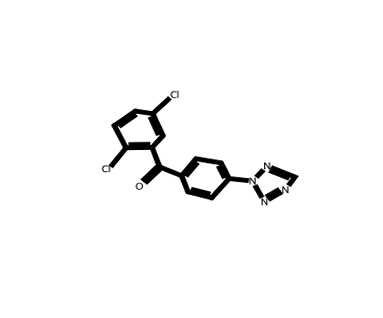 O=C(c1ccc(-n2ncnn2)cc1)c1cc(Cl)ccc1Cl